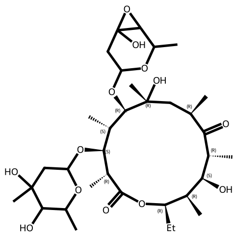 CC[C@H]1OC(=O)[C@H](C)[C@@H](OC2CC(C)(O)C(O)C(C)O2)[C@H](C)[C@@H](OC2CC3(O)OC3C(C)O2)[C@](C)(O)C[C@@H](C)C(=O)[C@H](C)[C@@H](O)[C@H]1C